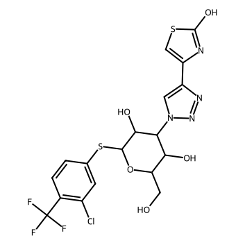 OCC1OC(Sc2ccc(C(F)(F)F)c(Cl)c2)C(O)C(n2cc(-c3csc(O)n3)nn2)C1O